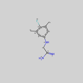 Cc1cc(NCC(=N)N)cc(C)c1F